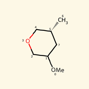 COC1COC[C@H](C)C1